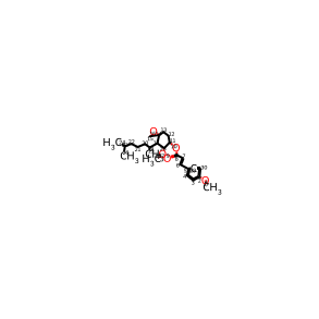 COc1ccc(C=CC(=O)OC2CCC3(CO3)C(C(C)CCCC(C)C)C2OC)cc1